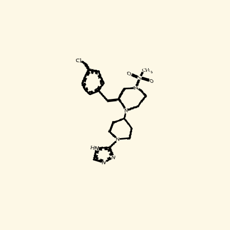 CS(=O)(=O)N1CCN(C2CCN(c3nnc[nH]3)CC2)C(Cc2ccc(Cl)cc2)C1